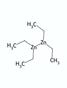 C[CH2][Zn]([CH2]C)[Zn]([CH2]C)[CH2]C